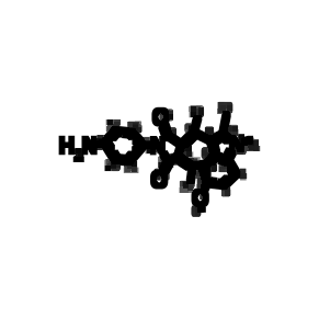 COc1ccc2c(c1)c(/C(C)=C1/C(=O)N(c3ccc(N)cc3)C(=O)C1=C(C)C)c(C)n2C